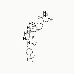 C[C@]1(O)CN(C(CO)C(N)=O)CC[C@H]1CNc1ncnc(N(Cc2ccc(C(F)(F)F)cc2)C2CC2)c1F